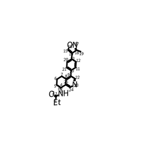 CCC(=O)N[C@@H]1CCCc2c(-c3ccc(-c4conc4C)cc3)cncc21